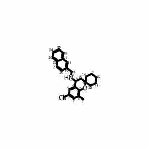 Cc1cc(Cl)cc2c1OC1(CCCCC1)CC2NCc1ccc2ccccc2c1